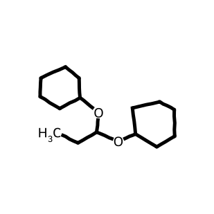 CCC(OC1CCCCC1)OC1CCCCC1